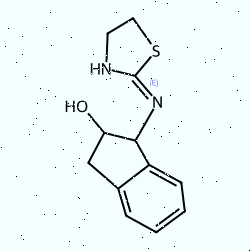 OC1Cc2ccccc2C1/N=C1\NCCS1